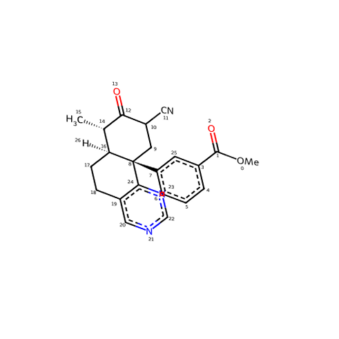 COC(=O)c1cccc([C@]23CC(C#N)C(=O)[C@@H](C)[C@@H]2CCc2cncnc23)c1